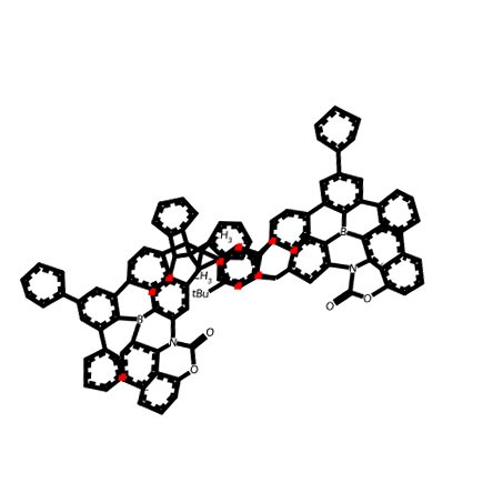 CC(C)(C)c1ccc2c(c1)C1c3ccc(C(C)(C)Cc4ccc(-c5cc(-c6ccccc6)cc(-c6ccccc6)c5B5c6cc7c(cc6N6C(=O)Oc8cccc9ccc5c6c89)C5c6ccccc6C56c5ccccc5C76)cc4)cc3C2c2cc3c(cc21)N1C(=O)Oc2cccc4ccc(c1c24)B3c1c(-c2ccccc2)cc(-c2ccccc2)cc1-c1ccccc1